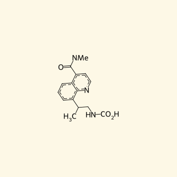 CNC(=O)c1ccnc2c(C(C)CNC(=O)O)cccc12